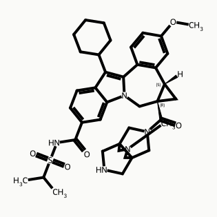 COc1ccc2c(c1)[C@@H]1C[C@]1(C(=O)N1CC34CNCC3(CN(C)C4)C1)Cn1c-2c(C2CCCCC2)c2ccc(C(=O)NS(=O)(=O)C(C)C)cc21